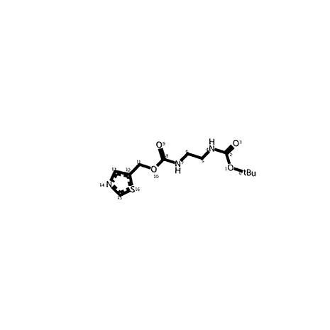 CC(C)(C)OC(=O)NCCNC(=O)OCc1cncs1